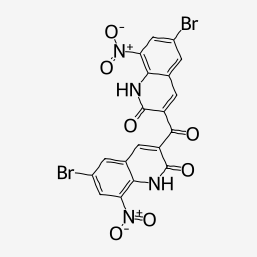 O=C(c1cc2cc(Br)cc([N+](=O)[O-])c2[nH]c1=O)c1cc2cc(Br)cc([N+](=O)[O-])c2[nH]c1=O